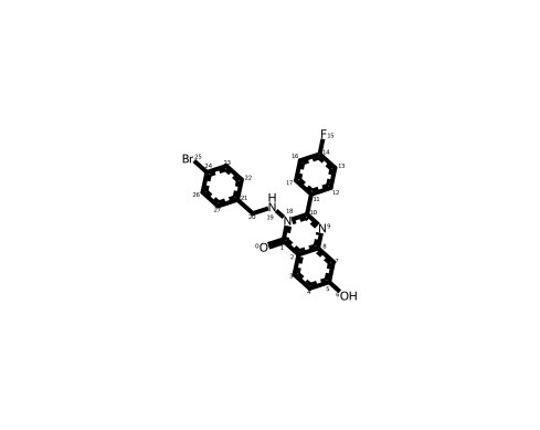 O=c1c2ccc(O)cc2nc(-c2ccc(F)cc2)n1NCc1ccc(Br)cc1